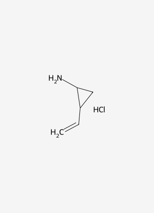 C=CC1CC1N.Cl